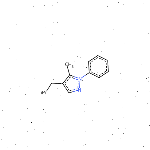 Cc1c(CC(C)C)cnn1-c1ccccc1